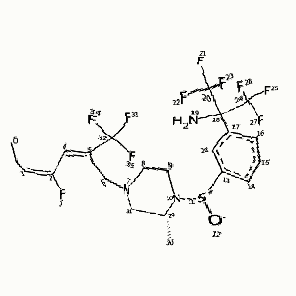 C/C=C(F)\C=C(/CN1CCN([S+]([O-])c2cccc(C(N)(C(F)(F)F)C(F)(F)F)c2)[C@H](C)C1)C(F)(F)F